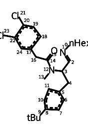 CCCCCCN=CC(Cc1ccc(C(C)(C)C)cc1)N(C)C(=O)Cc1ccc(Cl)c(Cl)c1